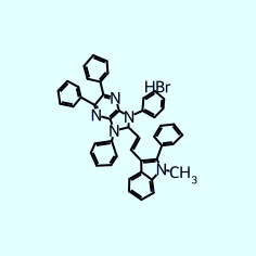 Br.Cn1c(-c2ccccc2)c(C=CC2N(c3ccccc3)c3nc(-c4ccccc4)c(-c4ccccc4)nc3N2c2ccccc2)c2ccccc21